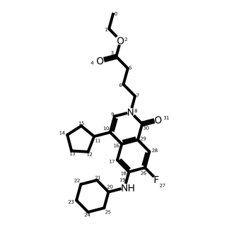 CCOC(=O)CCCn1cc(C2CCCC2)c2cc(NC3CCCCC3)c(F)cc2c1=O